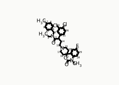 CCN(Cc1ccc(C)cc1)C(=O)C(CCN1CCC2(CC1)OC(=O)N(C)c1ccc(F)cc12)c1ccc(Cl)c(Cl)c1